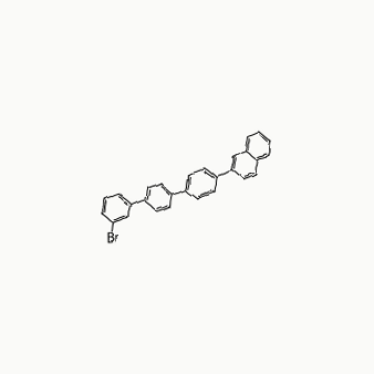 Brc1cccc(-c2ccc(-c3ccc(-c4ccc5ccccc5c4)cc3)cc2)c1